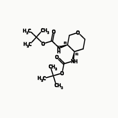 CC(C)(C)OC(=O)N[C@H]1COCC[C@H]1NC(=O)OC(C)(C)C